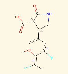 C=C(/C=C(F)\C(OC)=C(/C)F)[C@@H]1CNC(=O)[C@H]1C(=O)O